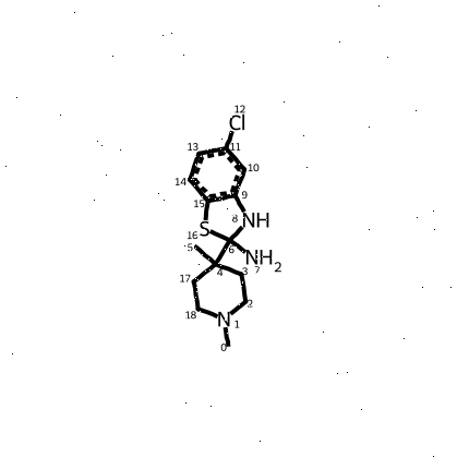 CN1CCC(C)(C2(N)Nc3cc(Cl)ccc3S2)CC1